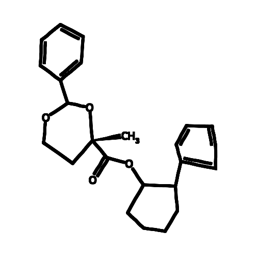 C[C@@]1(C(=O)OC2CCCCC2c2ccccc2)CCOC(c2ccccc2)O1